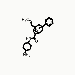 CSCC12CC3CC(c4ccccc4)(CC1C3C(=O)NC1CCC(N)CC1)C2